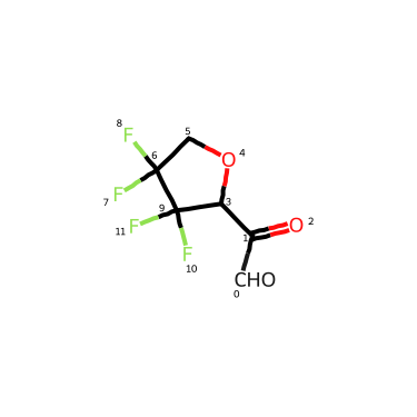 O=CC(=O)C1OCC(F)(F)C1(F)F